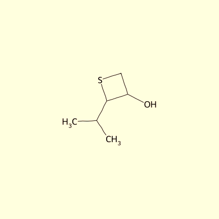 CC(C)C1SCC1O